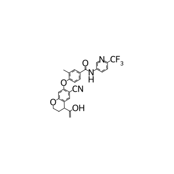 C=C(O)C1CCOc2cc(Oc3ccc(C(=O)Nc4ccc(C(F)(F)F)nc4)cc3C)c(C#N)cc21